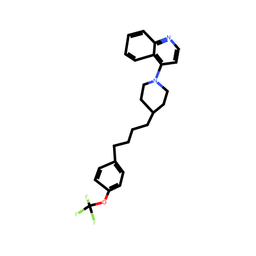 FC(F)(F)Oc1ccc(CCCCC2CCN(c3c[c]nc4ccccc34)CC2)cc1